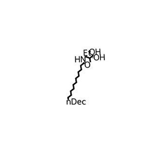 CCCCCCCCCCCCCCCCCCCCCC(=O)NC(CC)C(C)[C](O)O